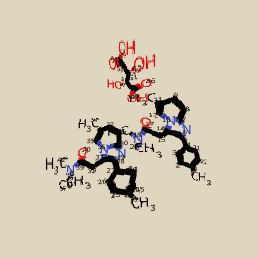 Cc1ccc(-c2nc3ccc(C)cn3c2CC(=O)N(C)C)cc1.Cc1ccc(-c2nc3ccc(C)cn3c2CC(=O)N(C)C)cc1.O=C(O)[C@H](O)[C@@H](O)C(=O)O.[Co]